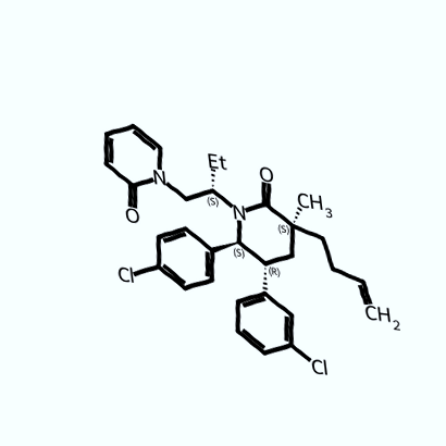 C=CCC[C@@]1(C)C[C@H](c2cccc(Cl)c2)[C@@H](c2ccc(Cl)cc2)N([C@@H](CC)Cn2ccccc2=O)C1=O